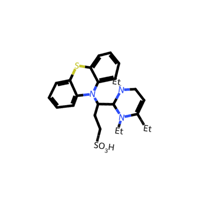 CCC1=CCN(CC)C(C(CCS(=O)(=O)O)N2c3ccccc3Sc3ccccc32)N1CC